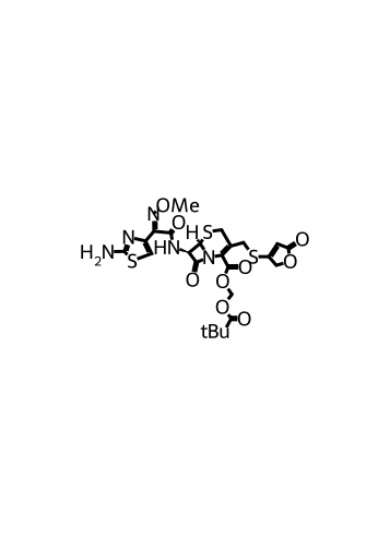 CO/N=C(\C(=O)N[C@@H]1C(=O)N2C(C(=O)OCOC(=O)C(C)(C)C)=C(CSC3=CC(=O)OC3)CS[C@@H]12)c1csc(N)n1